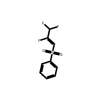 O=S(=O)(C=C(F)C(F)F)c1ccccc1